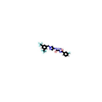 O=C(Nc1cnn(Cc2cc(C(F)(F)F)cc(C(F)(F)F)c2)c1)c1noc(-c2cccc(F)c2)n1